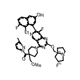 CCc1c(F)ccc2cc(O)cc(-c3ncc4c(N5CCC(COC)(C(=O)n6ccc(C)n6)CC5)nc(OC[C@@]56CCCN5C[C@H](F)C6)nc4c3F)c12